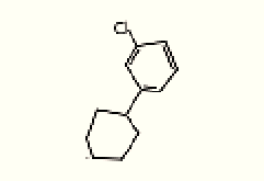 Clc1cccc(C2CC[CH]CC2)c1